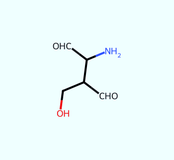 NC(C=O)C(C=O)CO